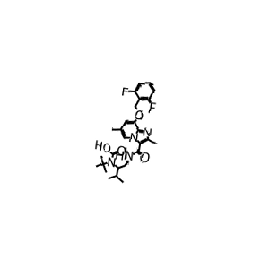 Cc1cc(OCc2c(F)cccc2F)c2nc(C)c(C(=O)NCC(C(C)C)N(C(=O)O)C(C)(C)C)n2c1